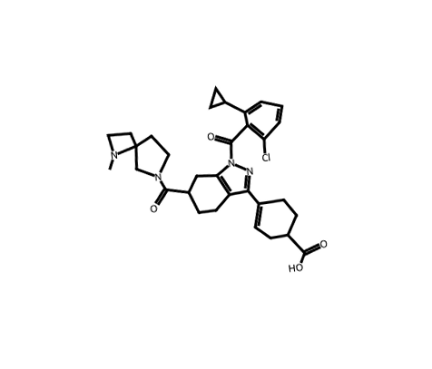 CN1CCC12CCN(C(=O)C1CCc3c(C4=CCC(C(=O)O)CC4)nn(C(=O)c4c(Cl)cccc4C4CC4)c3C1)C2